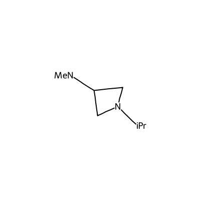 CNC1CN(C(C)C)C1